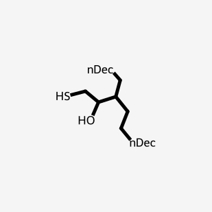 CCCCCCCCCCCCC(CCCCCCCCCCC)C(O)CS